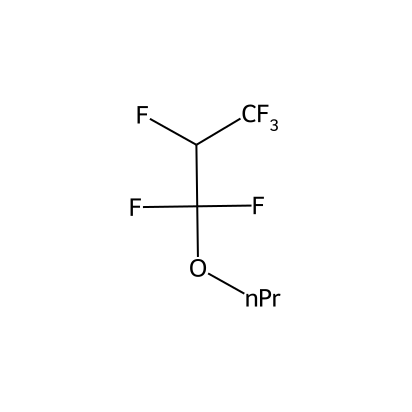 [CH2]CCOC(F)(F)C(F)C(F)(F)F